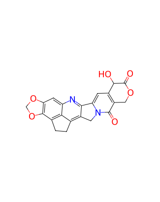 O=C1OCc2c(cc3n(c2=O)Cc2c-3nc3cc4c(c5c3c2CC5)OCO4)C1O